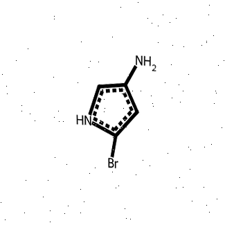 Nc1c[nH]c(Br)c1